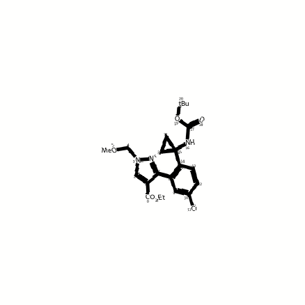 CCOC(=O)c1cn(COC)nc1-c1cc(Cl)ccc1C1(NC(=O)OC(C)(C)C)CC1